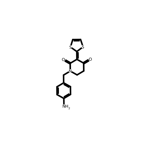 Nc1ccc(CN2CCC(=O)C(=C3SC=CS3)C2=O)cc1